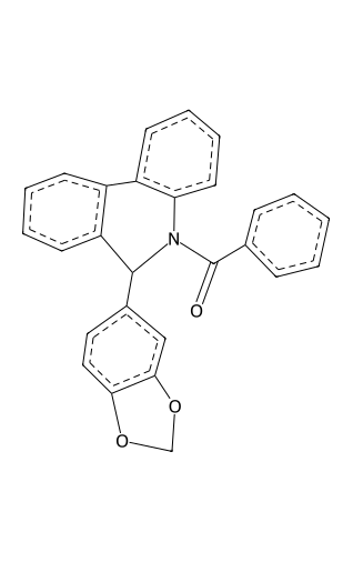 O=C(c1ccccc1)N1c2ccccc2-c2ccccc2C1c1ccc2c(c1)OCO2